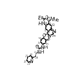 CCC(=O)Nc1cc2c(Oc3ccc(NC(=O)NCCc4ccccn4)cc3F)ncnc2cc1OC